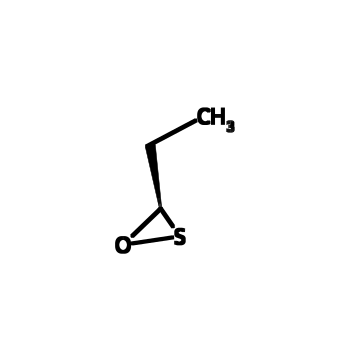 CC[C@@H]1OS1